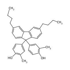 CCCCc1ccc2c(c1)-c1cc(CCCC)ccc1C2(c1ccc(O)c(C)c1)c1ccc(O)c(C)c1